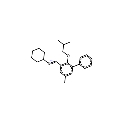 Cc1cc(/C=N/C2CCCCC2)c(OCC(C)C)c(-c2ccccc2)c1